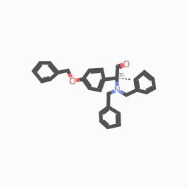 C[C@@](C=O)(c1ccc(OCc2ccccc2)cc1)N(Cc1ccccc1)Cc1ccccc1